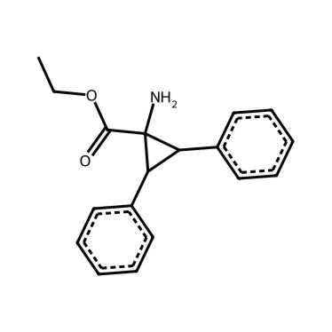 CCOC(=O)C1(N)C(c2ccccc2)C1c1ccccc1